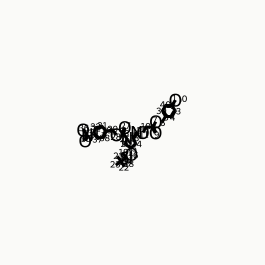 COc1ccc(COC(=O)CON=C2C[C@@H](O[Si](C)(C)C(C)(C)C)CN2C(=O)OCc2ccc([N+](=O)[O-])cc2)cc1